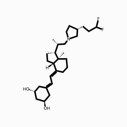 C[C@H](CN1CC[C@H](CCC(F)F)C1)[C@H]1CC[C@H]2/C(=C/C=C3C[C@@H](O)C[C@H](O)C3)CCC[C@]12C